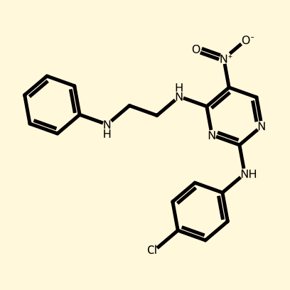 O=[N+]([O-])c1cnc(Nc2ccc(Cl)cc2)nc1NCCNc1ccccc1